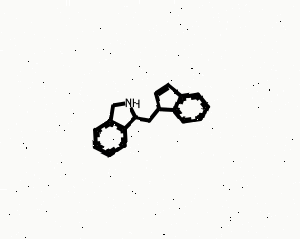 C1=CC(CC2NCc3ccccc32)c2ccccc21